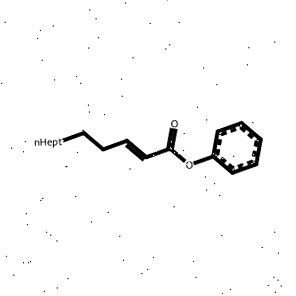 CCCCCCCCCC=CC(=O)Oc1ccccc1